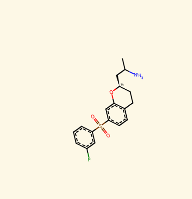 CC(N)C[C@H]1CCc2ccc(S(=O)(=O)c3cccc(F)c3)cc2O1